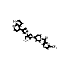 N#CCC1(n2cc(-c3ccnc4[nH]ccc34)cn2)CN(C2CCN(C(=O)c3cncc(C(F)(F)F)n3)CC2)C1